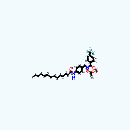 CCCCC=CCCCCCCCC(=O)Nc1ccc(CN(OC(C)=O)C(=O)c2ccc(C(F)(F)F)cc2)cc1